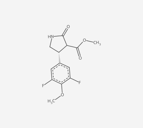 COC(=O)C1C(=O)NC[C@H]1c1cc(F)c(OC)c(F)c1